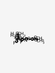 CC(C)OC(=O)N1CCC(COc2ccc(-c3ccc(CC(NC(=O)OC(C)(C)C)C(=O)N4CCC(F)C4)c(F)c3)nc2)CC1